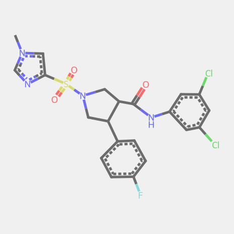 Cn1cnc(S(=O)(=O)N2CC(C(=O)Nc3cc(Cl)cc(Cl)c3)C(c3ccc(F)cc3)C2)c1